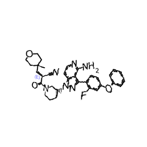 CC1(/C=C(\C#N)C(=O)N2CCC[C@@H](n3nc(-c4ccc(Oc5ccccc5)cc4F)c4c(N)nccc43)C2)CCOCC1